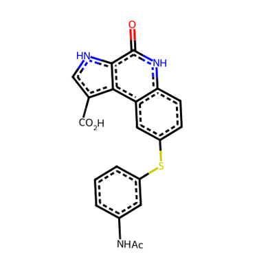 CC(=O)Nc1cccc(Sc2ccc3[nH]c(=O)c4[nH]cc(C(=O)O)c4c3c2)c1